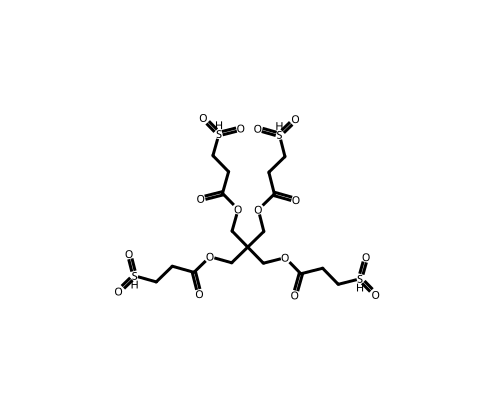 O=C(CC[SH](=O)=O)OCC(COC(=O)CC[SH](=O)=O)(COC(=O)CC[SH](=O)=O)COC(=O)CC[SH](=O)=O